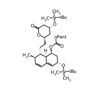 CCCCCC(=O)O[C@H]1C[C@H](O[Si](C)(C)C(C)(C)C)C=C2C=C[C@@H](C)[C@H](CC[C@@H]3C[C@@H](O[Si](C)(C)C(C)(C)C)CC(=O)O3)[C@H]21